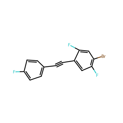 Fc1ccc(C#Cc2cc(F)c(Br)cc2F)cc1